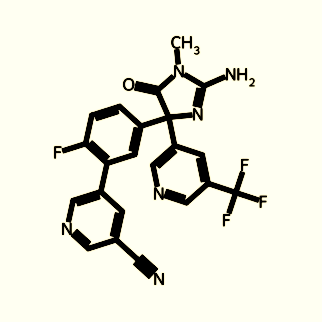 CN1C(=O)C(c2cncc(C(F)(F)F)c2)(c2ccc(F)c(-c3cncc(C#N)c3)c2)N=C1N